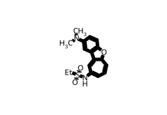 CCS(=O)(=O)NC1=CC=CC2Oc3ccc(N(C)C)cc3C2=C1